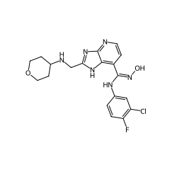 O/N=C(/Nc1ccc(F)c(Cl)c1)c1ccnc2nc(CNC3CCOCC3)[nH]c12